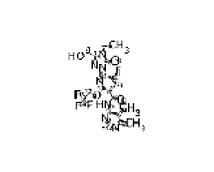 CCn1c(CO)nn(-c2nc(OCC(F)(F)F)c(C(=O)Nc3ncnc(C)c3C)cc2F)c1=O